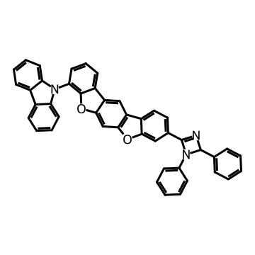 c1ccc(C2N=C(c3ccc4c(c3)oc3cc5oc6c(-n7c8ccccc8c8ccccc87)cccc6c5cc34)N2c2ccccc2)cc1